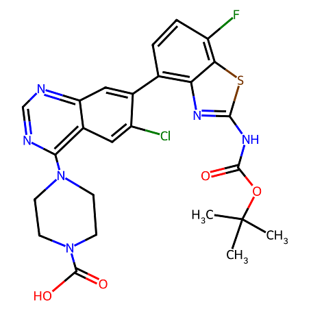 CC(C)(C)OC(=O)Nc1nc2c(-c3cc4ncnc(N5CCN(C(=O)O)CC5)c4cc3Cl)ccc(F)c2s1